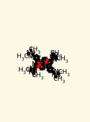 Cc1nc(C)nc(-c2ccc3c(c2)c2cc(-c4nc(C)nc(C)n4)ccc2n3-c2cccnc2-c2c(C#N)cccc2-n2c3ccc(-c4nc(C)nc(C)n4)cc3c3cc(-c4nc(C)nc(C)n4)ccc32)n1